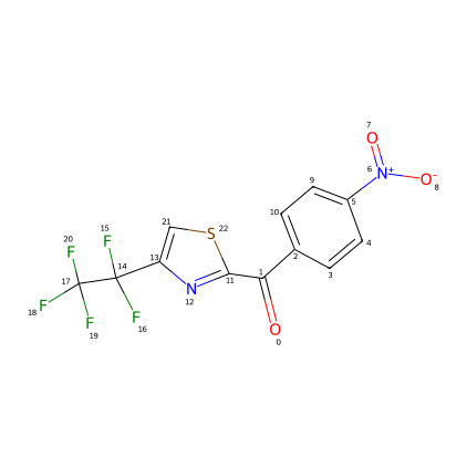 O=C(c1ccc([N+](=O)[O-])cc1)c1nc(C(F)(F)C(F)(F)F)cs1